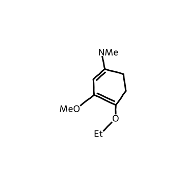 CCOC1=C(OC)C=C(NC)CC1